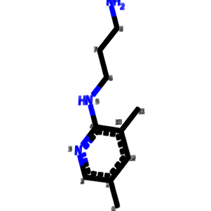 Cc1cnc(NCCCN)c(C)c1